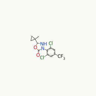 CC1(C2NN(c3c(Cl)cc(C(F)(F)F)cc3Cl)C(=O)O2)CC1